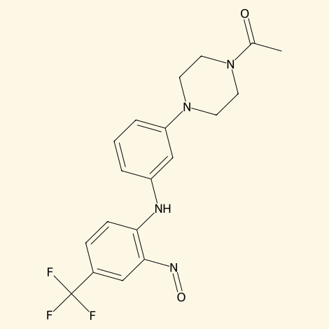 CC(=O)N1CCN(c2cccc(Nc3ccc(C(F)(F)F)cc3N=O)c2)CC1